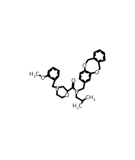 COc1ccccc1CN1CCOC(C(=O)N(Cc2ccc3c(c2)OCc2ccccc2CO3)CC(C)C)C1